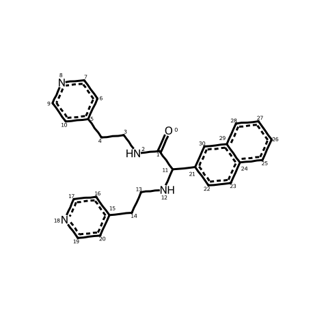 O=C(NCCc1ccncc1)C(NCCc1ccncc1)c1ccc2ccccc2c1